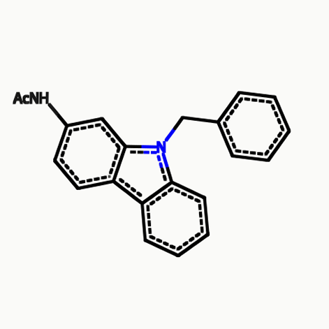 CC(=O)Nc1ccc2c3ccccc3n(Cc3ccccc3)c2c1